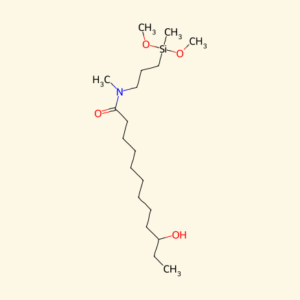 CCC(O)CCCCCCCCC(=O)N(C)CCC[Si](C)(OC)OC